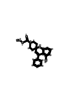 CC(C)(C)OC(=O)N1CCC2(C=C(c3ccccc3)c3c(Cl)cccc3O2)CC1